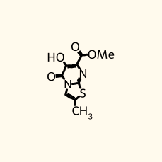 COC(=O)c1nc2sc(C)cn2c(=O)c1O